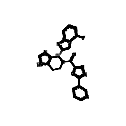 O=C(c1nnc(-c2cccnc2)o1)N1CCc2[nH]cnc2[C@@H]1c1cc2c(F)cccn2n1